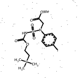 COC(=O)CN(c1ccc(I)cc1)S(=O)(=O)NC(=O)OCC[Si](C)(C)C